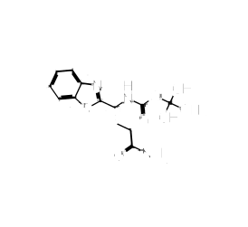 CC(C)(C)OC(=O)N[C@H](CCC(N)=O)c1nc2ccccc2s1